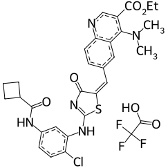 CCOC(=O)c1cnc2ccc(C=C3SC(Nc4cc(NC(=O)C5CCC5)ccc4Cl)=NC3=O)cc2c1N(C)C.O=C(O)C(F)(F)F